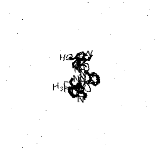 CC[C@H]1CCN2CCC1C[C@@H]2[C@H](Oc1nnc(O[C@@H](c2ccnc3ccc(C)cc23)[C@H]2CC3CCN2CCC3(O)CC)c2ccccc12)c1ccnc2ccc(CO)cc12